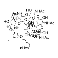 CCCCCC/C=C\CCCOc1cccc(C(=O)NC2C(O[C@@H]3C(CO)OC(OC4C(CO)O[C@@H](O[C@@H]5C(CO)O[C@@H](OC6C(CO[C@@H]7OC(C)C(O)C(O)C7OC)OC(O)[C@@H](NC(C)=O)[C@H]6O)C(NC(C)=O)C5O)[C@@H](NC(C)=O)[C@H]4O)C(NC(C)=O)C3O)OC(CO)[C@@H](O)C2O)c1